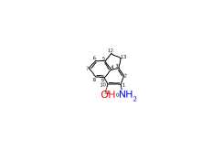 Nc1cc2c3c(cccc3c1O)CC2